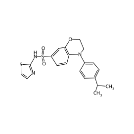 CC(C)c1ccc(N2CCOc3cc(S(=O)(=O)Nc4nccs4)ccc32)cc1